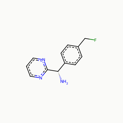 N[C@@H](c1ccc(CF)cc1)c1ncccn1